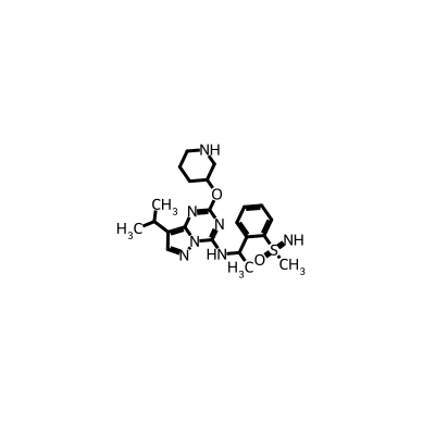 CC(C)c1cnn2c(NC(C)c3ccccc3S(C)(=N)=O)nc(OC3CCCNC3)nc12